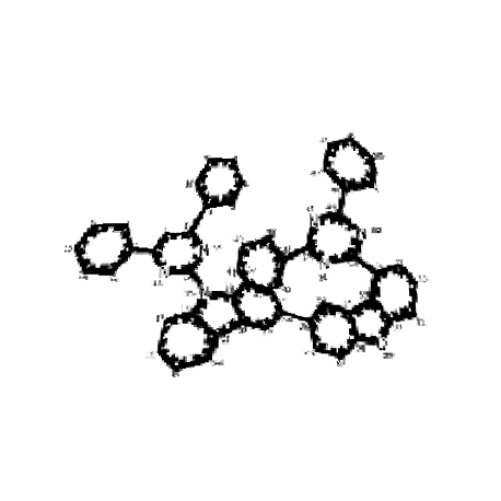 c1ccc(-c2cc(-c3ccccc3)nc(-n3c4ccccc4c4cc(-c5ccc6oc7cccc(-c8nc(-c9ccccc9)nc(-c9ccccc9)n8)c7c6c5)ccc43)n2)cc1